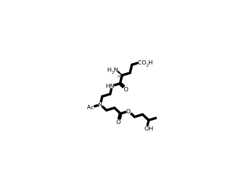 CC(=O)N(CCNC(=O)[C@@H](N)CCC(=O)O)CCC(=O)OCCC(C)O